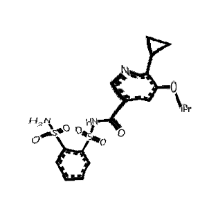 CC(C)Oc1cc(C(=O)NS(=O)(=O)c2ccccc2S(N)(=O)=O)cnc1C1CC1